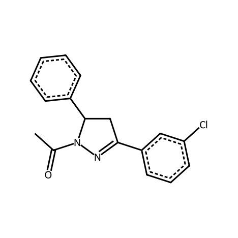 CC(=O)N1N=C(c2cccc(Cl)c2)CC1c1ccccc1